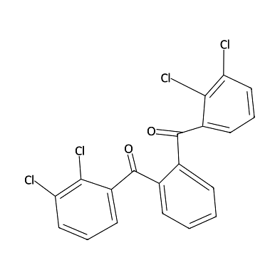 O=C(c1ccccc1C(=O)c1cccc(Cl)c1Cl)c1cccc(Cl)c1Cl